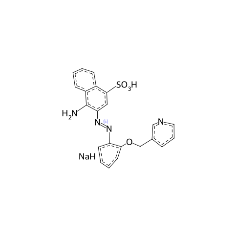 Nc1c(/N=N/c2ccccc2OCc2cccnc2)cc(S(=O)(=O)O)c2ccccc12.[NaH]